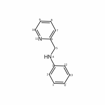 [c]1ccc(NCc2ccccn2)cc1